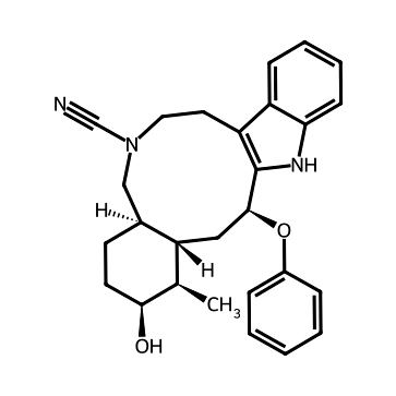 C[C@@H]1[C@H]2C[C@H](Oc3ccccc3)c3[nH]c4ccccc4c3CCN(C#N)C[C@@H]2CC[C@@H]1O